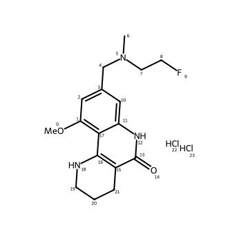 COc1cc(CN(C)CCF)cc2[nH]c(=O)c3c(c12)NCCC3.Cl.Cl